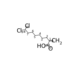 C=C(CCCCCCC(Cl)Cl)C(=O)O